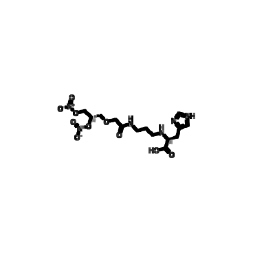 O=C(COC[C@@H](CO[N+](=O)[O-])O[N+](=O)[O-])NCCCN[C@@H](Cc1c[nH]cn1)C(=O)O